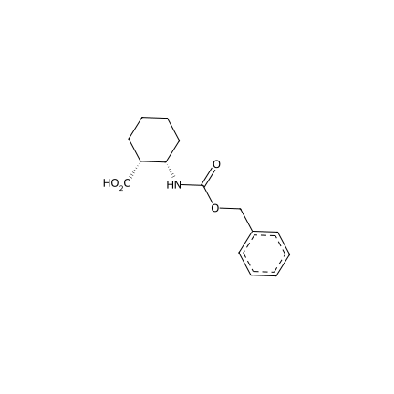 O=C(N[C@H]1CCCC[C@H]1C(=O)O)OCc1ccccc1